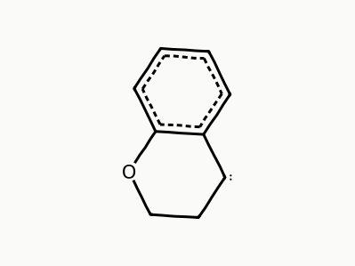 [C]1CCOc2ccccc21